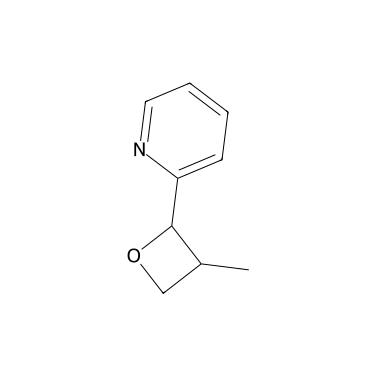 CC1COC1c1ccccn1